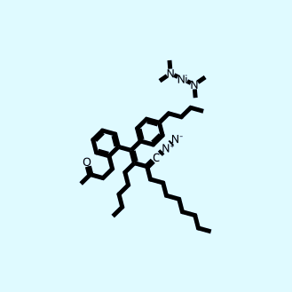 CCCCCCCCC(=C=[N+]=[N-])C(CCCCC)=C(c1ccc(CCCC)cc1)c1ccccc1CCC(C)=O.C[N](C)[Ni][N](C)C